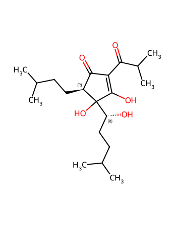 CC(C)CC[C@@H](O)C1(O)C(O)=C(C(=O)C(C)C)C(=O)[C@@H]1CCC(C)C